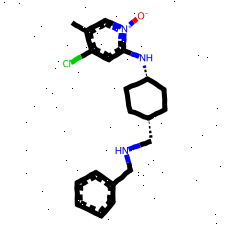 Cc1c[n+]([O-])c(N[C@H]2CC[C@@H](CNCc3ccccc3)CC2)cc1Cl